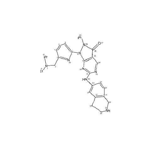 CCN(Cc1cccc(-n2c3nc(Nc4ccc5c(c4)CCNC5)ncc3c(=O)n2C(C)C)n1)C(C)C